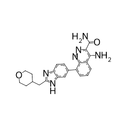 NC(=O)c1nnc2c(-c3ccc4nc(CC5CCOCC5)[nH]c4c3)cccc2c1N